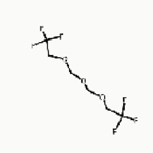 FC(F)(F)COCOCOCC(F)(F)F